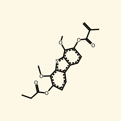 C=C(C)C(=O)Oc1ccc2c(sc3c(OC)c(OC(=O)CC)ccc32)c1OC